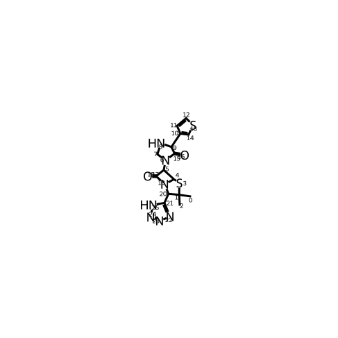 CC1(C)SC2C(N3CNC(c4ccsc4)C3=O)C(=O)N2C1c1nnn[nH]1